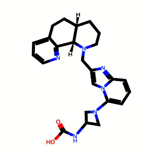 O=C(O)NC1CN(c2cccc3nc(CN4CCC[C@H]5CCc6cccnc6[C@H]54)cn23)C1